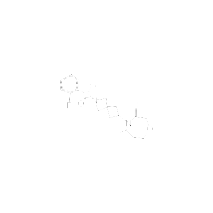 CC1CCOCC(=O)N1C1CC2(C1)CN(S(=O)(=O)c1ccccc1F)C2